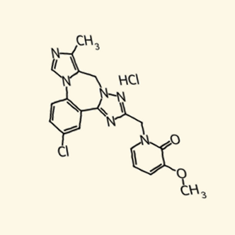 COc1cccn(Cc2nc3n(n2)Cc2c(C)ncn2-c2ccc(Cl)cc2-3)c1=O.Cl